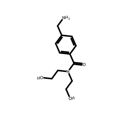 NCc1ccc(C(=O)N(CCO)CCO)cc1